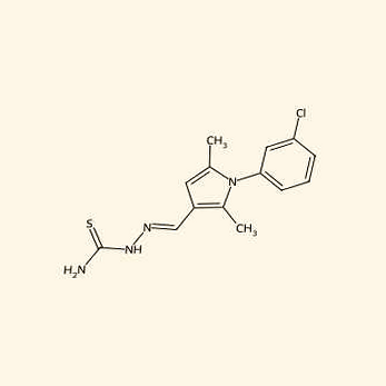 Cc1cc(C=NNC(N)=S)c(C)n1-c1cccc(Cl)c1